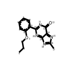 CCCOc1ccccc1C1=NC(=O)C2=NC(C)=NC2=N1